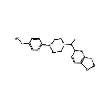 CC(c1ccc2c(c1)OCO2)N1CCN(c2ccc(CO)cn2)CC1